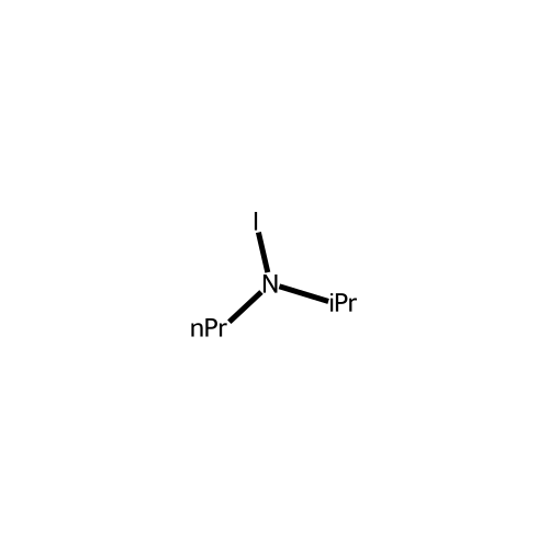 CCCN(I)C(C)C